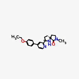 CCOc1ccc(-c2ccnc([C@H]3CC[C@@]4(CCN(C)C4=O)N3)c2)cc1